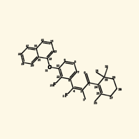 C=C(C(C)=C(F)c1cccc(Oc2cccc3ccccc23)c1F)C1=C(C)CCCC1(C)C